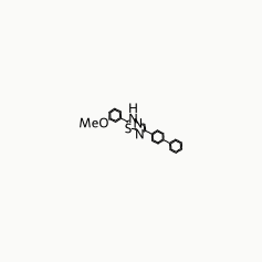 COc1cccc(C2Nn3cc(-c4ccc(-c5ccccc5)cc4)nc3S2)c1